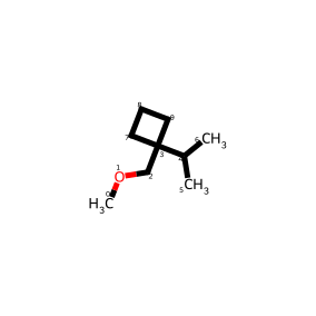 COCC1(C(C)C)CCC1